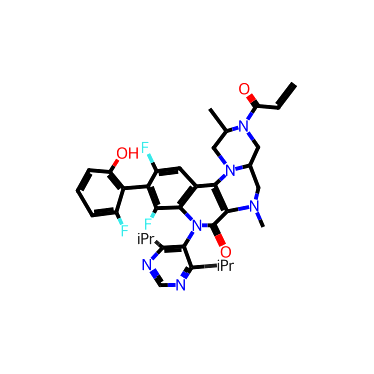 C=CC(=O)N1CC2CN(C)c3c(c4cc(F)c(-c5c(O)cccc5F)c(F)c4n(-c4c(C(C)C)ncnc4C(C)C)c3=O)N2CC1C